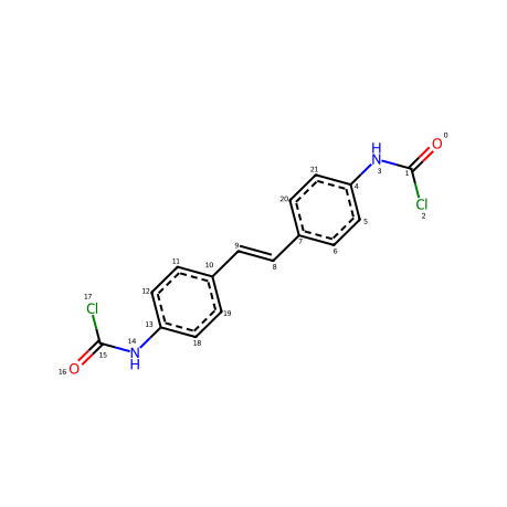 O=C(Cl)Nc1ccc(C=Cc2ccc(NC(=O)Cl)cc2)cc1